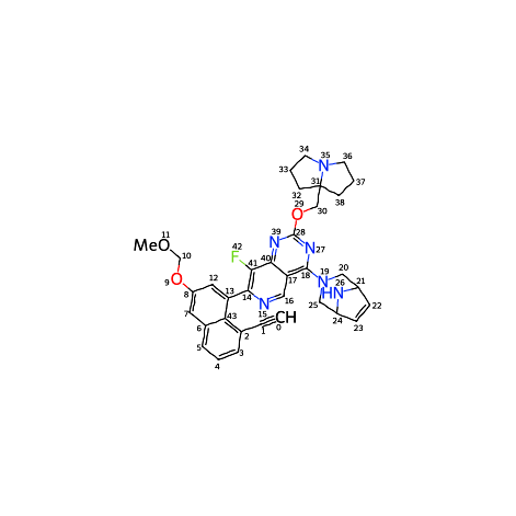 C#Cc1cccc2cc(OCOC)cc(-c3ncc4c(N5CC6C=CC(C5)N6)nc(OCC56CCCN5CCC6)nc4c3F)c12